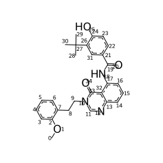 COc1ccccc1CCn1cnc2cccc(NC(=O)c3ccc(O)c(C(C)(C)C)c3)c2c1=O